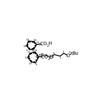 CC(C)(C)OCCCOC(C)(C)C.O=C(O)c1ccccc1.O=C(O)c1ccccc1